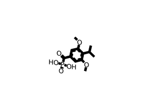 COc1cc(C(=O)P(=O)(O)O)cc(OC)c1C(C)C